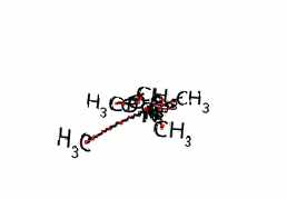 CCCCCCCCCCCCCCCCCCCCCCCCC#CCCc1ccccc1C(=C(C=C=[N+]=[N-])CCCCCCCC)c1cccc(CCCC)c1.CCCC[O][Pd][O]CCCC